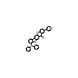 O=c1c2cc(-c3ccncc3)ccc2oc2cc3c(cc12)sc1c(N(c2ccccc2)c2ccccc2)cccc13